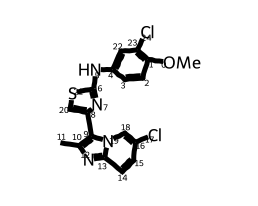 COc1ccc(Nc2nc(-c3c(C)nc4ccc(Cl)cn34)cs2)cc1Cl